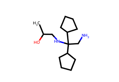 CC(O)CNC(CN)(C1CCCC1)C1CCCC1